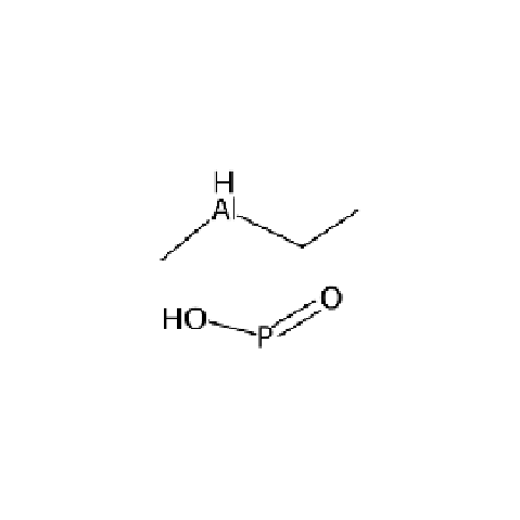 C[CH2][AlH][CH3].O=PO